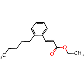 CCCCCc1ccccc1/C=C/C(=O)OCC